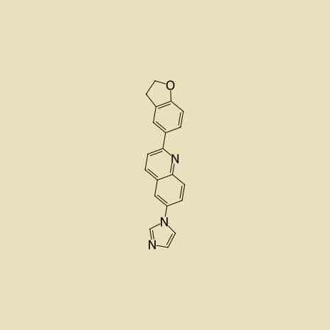 c1cn(-c2ccc3nc(-c4ccc5c(c4)CCO5)ccc3c2)cn1